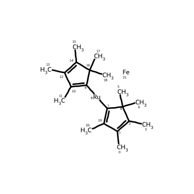 CC1=C(C)C(C)(C)[C]([Ru][C]2=C(C)C(C)=C(C)C2(C)C)=C1C.[Fe]